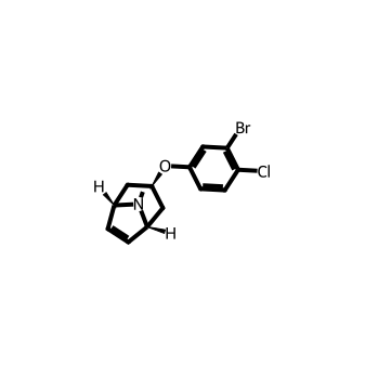 CN1[C@@H]2C=C[C@H]1C[C@H](Oc1ccc(Cl)c(Br)c1)C2